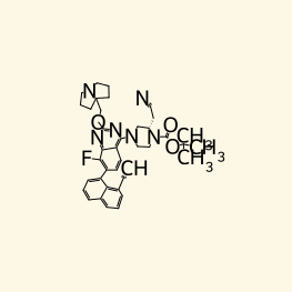 C#Cc1cccc2cccc(-c3ccc4c(N5CCN(C(=O)OC(C)(C)C)[C@@H](CC#N)C5)nc(OCC56CCCN5CCC6)nc4c3F)c12